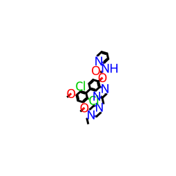 CCN1CCN(Cc2cnc3c(OC(=O)Nc4ccccn4)ccc(-c4c(Cl)c(OC)cc(OC)c4Cl)c3n2)CC1